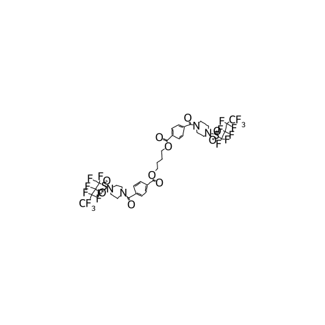 O=C(OCCCCOC(=O)c1ccc(C(=O)N2CCN(S(=O)(=O)C(F)(F)C(F)(F)C(F)(F)C(F)(F)F)CC2)cc1)c1ccc(C(=O)N2CCN(S(=O)(=O)C(F)(F)C(F)(F)C(F)(F)C(F)(F)F)CC2)cc1